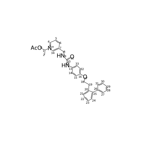 CC(=O)OC(C)[n+]1cccc(CNC(=O)Nc2ccc(OCCc3ccccc3-c3ccccc3)cc2)c1